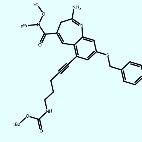 CCCN(OCC)C(=O)C1=Cc2c(C#CCCCNC(=O)OC(C)(C)C)cc(SCc3ccccc3)cc2N=C(N)C1